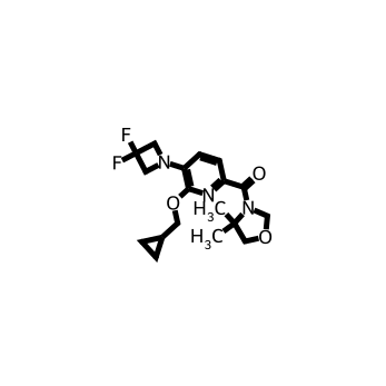 CC1(C)COCN1C(=O)c1ccc(N2CC(F)(F)C2)c(OCC2CC2)n1